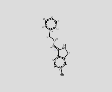 Brc1ccc2c(c1)CN/C2=N\OCc1ccccc1